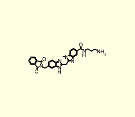 Cn1c(Cc2nc3ccc(CN4C(=O)c5ccccc5C4=O)cc3[nH]2)nc2cc(C(=O)NCCCN)ccc21